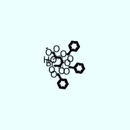 COC(=O)[C@@H](O)[C@@H](OC(=O)c1ccccc1)[C@H](OC(=O)c1ccccc1)[C@@H](OC(=O)c1ccccc1)C(=O)Br